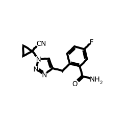 N#CC1(n2cc([CH]c3ccc(F)cc3C(N)=O)nn2)CC1